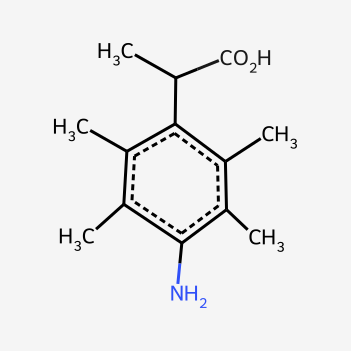 Cc1c(C)c(C(C)C(=O)O)c(C)c(C)c1N